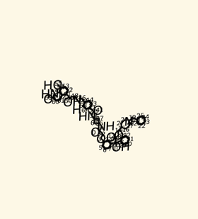 O=C(COc1cccc(C(O)(C(=O)OCC2CCN(Cc3ccccc3)CC2)c2ccccc2)c1)N[C@H]1C[C@H](NC(=O)c2ccc(CNC[C@H](O)c3ccc(O)c4[nH]c(=O)ccc34)cc2)C1